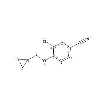 N#Cc1ccc(OCC2CC2)c(Cl)c1